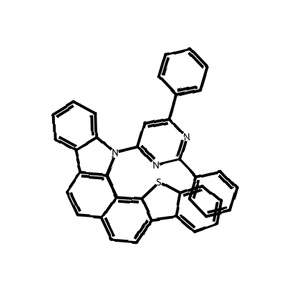 c1ccc(-c2cc(-n3c4ccccc4c4ccc5ccc6c7ccccc7sc6c5c43)nc(-c3ccccc3)n2)cc1